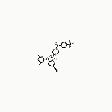 Cc1cc(C)cc(Oc2ccc(C#N)cc2S(=O)(=O)N2CCN(C(=O)c3ccc(C(F)(F)F)cc3)CC2)c1